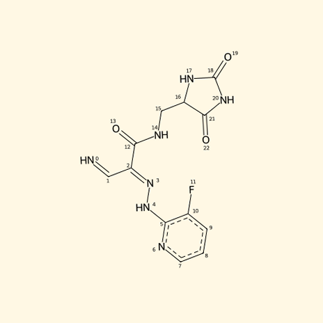 N=C/C(=N\Nc1ncccc1F)C(=O)NCC1NC(=O)NC1=O